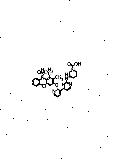 Cc1c(Oc2ncccc2-c2ccnc(N[C@H]3CCCN(C(=O)O)C3)n2)ccc(N(c2ccccc2Cl)[SH](=O)=O)c1C